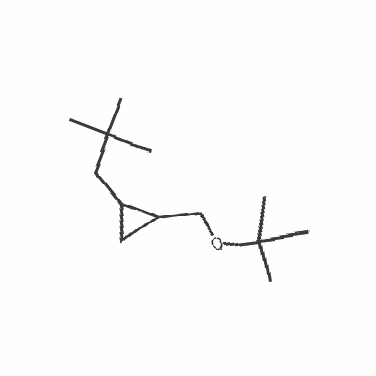 CC(C)(C)CC1CC1COC(C)(C)C